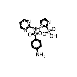 Nc1ccc(S(=O)(=O)Nc2ncccn2)cc1.O=S(=O)(O)c1nccs1